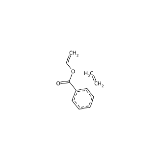 C=C.C=COC(=O)c1ccccc1